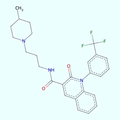 CC1CCN(CCCNC(=O)c2cc3ccccc3n(-c3cccc(C(F)(F)F)c3)c2=O)CC1